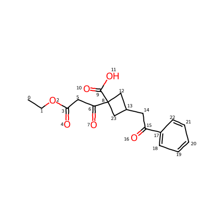 CCOC(=O)CC(=O)C1(C(=O)O)CC(CC(=O)c2ccccc2)C1